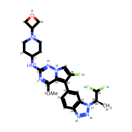 COc1nc(NC2CCN(C3COC3)CC2)nn2cc(F)c(-c3ccc4nnn([C@H](C)C(F)F)c4c3)c12